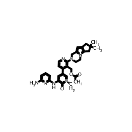 CC(=O)OCc1c(-c2cc(Nc3cccc(N)n3)c(=O)n(C)c2)ccnc1N1CCn2c(cc3c2CC(C)(C)C3)C1